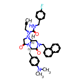 C#CCN(C(=O)NCc1ccc(F)cc1)N1CC(=O)N2[C@@H](Cc3ccc(N(C)C)cc3)C(=O)N(Cc3cccc4ccccc34)C[C@@H]21